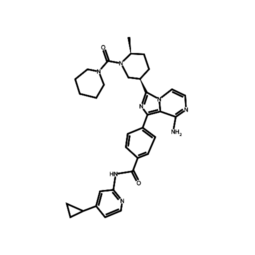 C[C@H]1CC[C@@H](c2nc(-c3ccc(C(=O)Nc4cc(C5CC5)ccn4)cc3)c3c(N)nccn23)CN1C(=O)N1CCCCC1